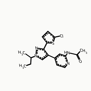 CCC(C)n1cc(-c2ccnc(NC(C)=O)c2)c(-c2ccc(Cl)s2)n1